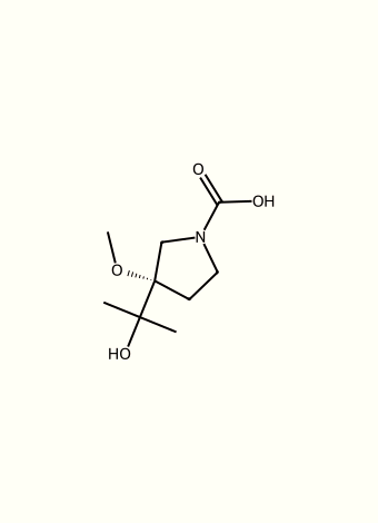 CO[C@@]1(C(C)(C)O)CCN(C(=O)O)C1